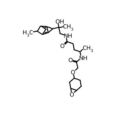 CC(CCC(=O)NCC(C)(O)C1C2=C3CC(=C21)C3C)NC(=O)COC1CCC2OC2C1